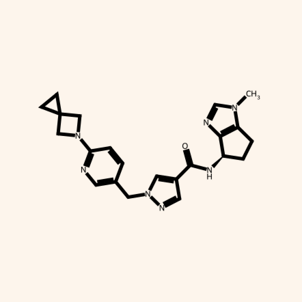 Cn1cnc2c1CC[C@H]2NC(=O)c1cnn(Cc2ccc(N3CC4(CC4)C3)nc2)c1